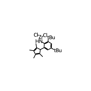 CC1=C(C)C(c2cc(C(C)(C)C)cc(C(C)(C)C)c2[NH][Zr]([Cl])[Cl])C(C)=C1C